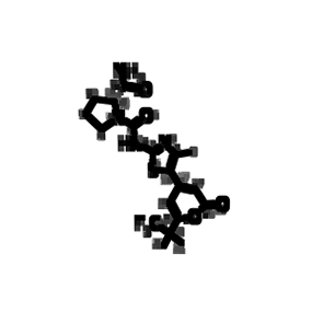 Cc1nc(NC(=O)N2CCC[C@@H]2C(N)=O)sc1-c1cc(C(C)(C)C(F)(F)F)oc(=O)c1